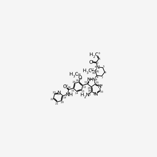 C=CC(=O)N1CCCC(n2nc(-c3ccc(C(=O)Nc4ccccn4)cc3OC)c3c(N)ncnc32)[C@H]1C